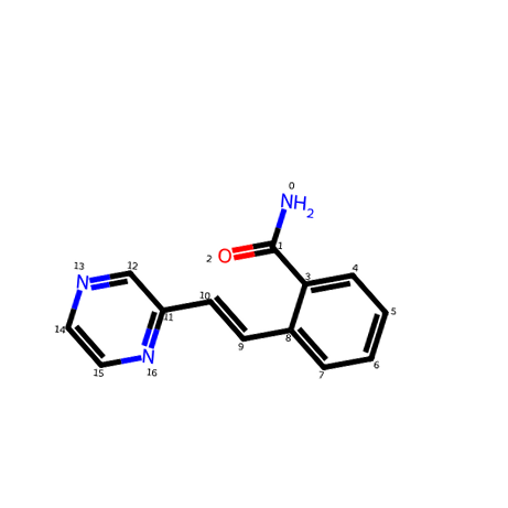 NC(=O)c1ccccc1/C=C/c1cnccn1